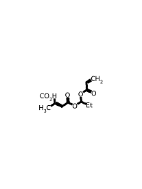 C=CC(=O)OC(CC)OC(=O)/C=C(/C)C(=O)O